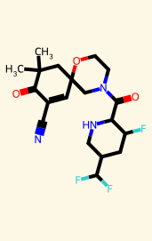 CC1(C)CC2(C=C(C#N)C1=O)CN(C(=O)C1NCC(C(F)F)CC1F)CCO2